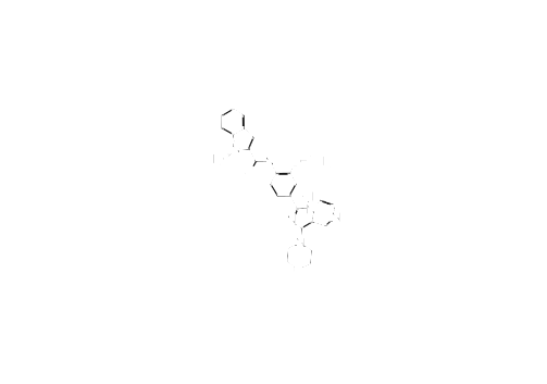 COc1cc(C2=NC(N3CCOCC3)=C3C=NC=C[N+]23C)ccc1NC(=O)c1cc2ccccc2n1C